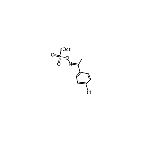 CCCCCCCCS(=O)(=O)ON=C(C)c1ccc(Cl)cc1